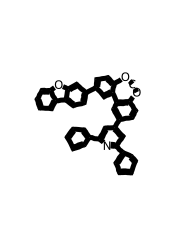 c1ccc(-c2cc(-c3ccc4c(c3)-c3cc(-c5ccc6c(c5)oc5ccccc56)ccc3OCO4)cc(-c3ccccc3)n2)cc1